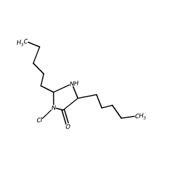 CCCCCC1NC(CCCCC)N(Cl)C1=O